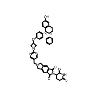 O=C1CCC(N2C(=O)c3cc4c(cc3C2=O)CN(Cc2cnc(N3CC(Oc5ccc([C@@H]6c7ccc(O)cc7CC[C@@H]6c6ccccc6)cc5)C3)nc2)C4)C(=O)N1